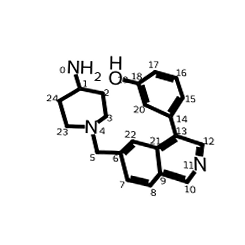 NC1CCN(Cc2ccc3cncc(-c4cccc(O)c4)c3c2)CC1